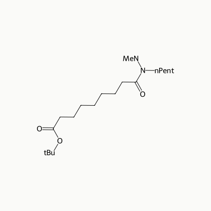 CCCCCN(NC)C(=O)CCCCCCCC(=O)OC(C)(C)C